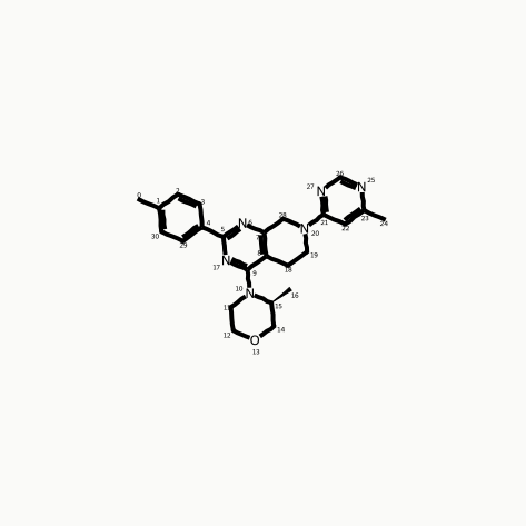 Cc1ccc(-c2nc3c(c(N4CCOC[C@@H]4C)n2)CCN(c2cc(C)ncn2)C3)cc1